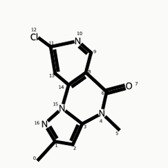 Cc1cc2n(C)c(=O)c3cnc(Cl)cc3n2n1